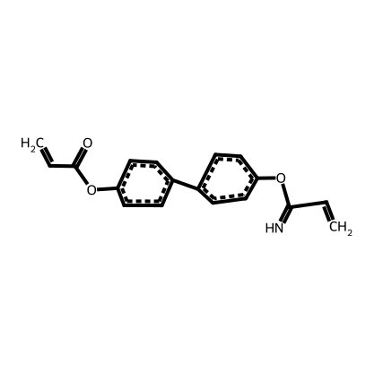 C=CC(=N)Oc1ccc(-c2ccc(OC(=O)C=C)cc2)cc1